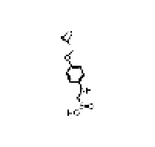 O=S(O)CNc1ccc(OC[C@@H]2CO2)cc1